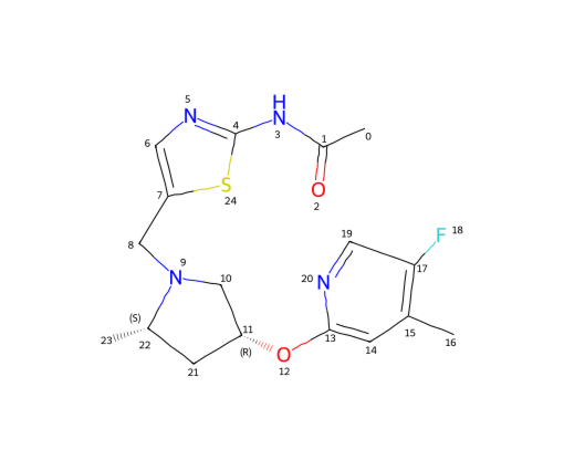 CC(=O)Nc1ncc(CN2C[C@H](Oc3cc(C)c(F)cn3)C[C@@H]2C)s1